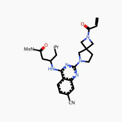 C=CC(=O)N1CC2(CCN(c3nc(NC(CC(=O)NC)CC(C)C)c4ccc(C#N)cc4n3)C2)C1